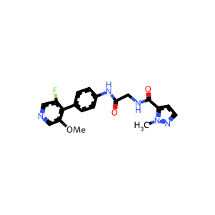 COc1cncc(F)c1-c1ccc(NC(=O)CNC(=O)c2ccnn2C)cc1